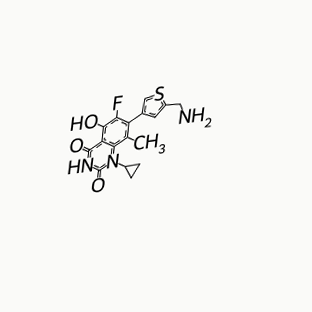 Cc1c(-c2csc(CN)c2)c(F)c(O)c2c(=O)[nH]c(=O)n(C3CC3)c12